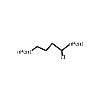 CCCCCCCCC(Cl)CCCCC